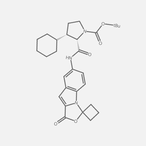 CC(C)(C)OC(=O)N1CC[C@@H](C2CCCCC2)[C@H]1C(=O)Nc1ccc2c(c1)cc1n2C2(CCC2)OC1=O